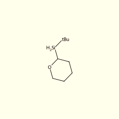 CC(C)(C)[SiH2]C1CCCCO1